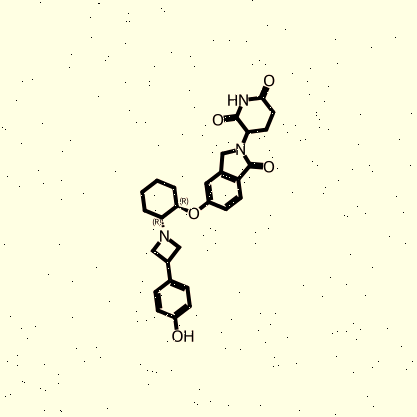 O=C1CCC(N2Cc3cc(O[C@@H]4CCCC[C@H]4N4CC(c5ccc(O)cc5)C4)ccc3C2=O)C(=O)N1